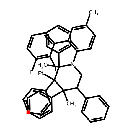 CCC1(c2ccccc2)C(C)(c2ccccc2)C(c2ccccc2)CN(c2ccc(C)cc2-c2cccc(F)c2F)C1(C)c1ccccc1